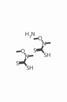 CON(C)C(=S)S.CON(C)C(=S)S.N